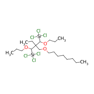 CCCCCCCCOCC(CC)(C(OCCC)[Si](Cl)(Cl)Cl)C(OCCC)[Si](Cl)(Cl)Cl